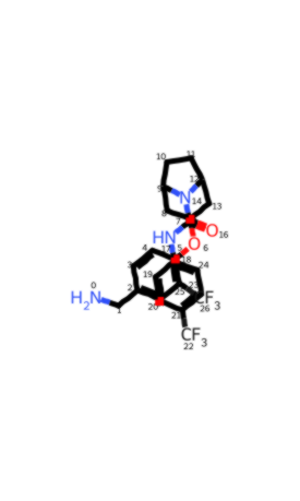 NCc1ccc(OC2CC3CCC(C2)N3C(=O)Nc2ccc(C(F)(F)F)cc2)c(C(F)(F)F)c1